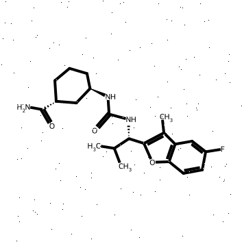 Cc1c([C@@H](NC(=O)N[C@@H]2CCC[C@@H](C(N)=O)C2)C(C)C)oc2ccc(F)cc12